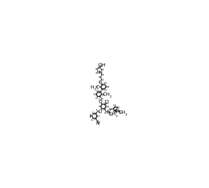 Cc1c(COc2cc(OCc3cncc(C#N)c3)c(CN(C)Cc3ccn(C)n3)cc2Cl)cccc1-c1cccc(OCCCN2CCC(O)C2)c1C